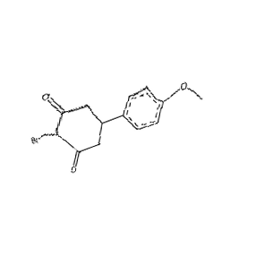 COc1ccc(C2CC(=O)C(Br)C(=O)C2)cc1